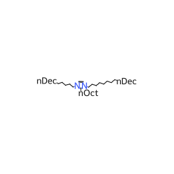 CCCCCCCCCCCCCCCCCCN1C=CN(CCCCCCCCCCCCCCC)C1CCCCCCCC